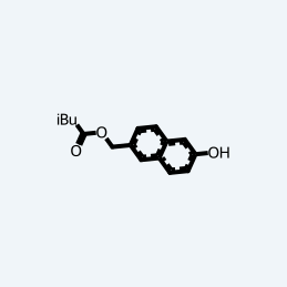 CCC(C)C(=O)OCc1ccc2cc(O)ccc2c1